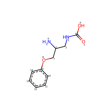 NC(CNC(=O)O)COc1ccccc1